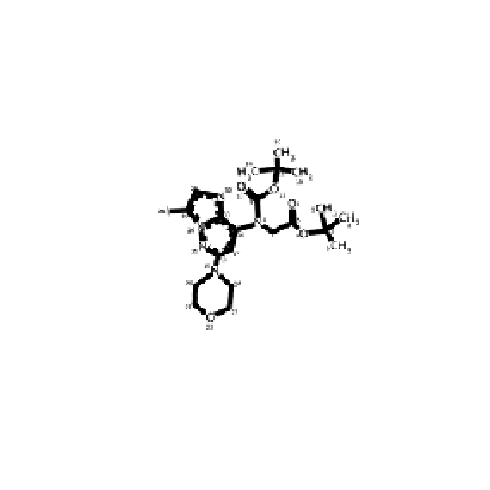 CC(C)(C)OC(=O)CN(C(=O)OC(C)(C)C)c1cc(N2CCOCC2)nn2c(I)cnc12